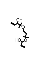 C=CC(O)OC(C)(C)CCOC(C)(C)C(O)C=C